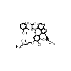 CC#Cc1sc2ncnc(N[C@H](Cc3ccccc3O)C(=O)O)c2c1-c1ccc(OCCN(C)C)c(Cl)c1C